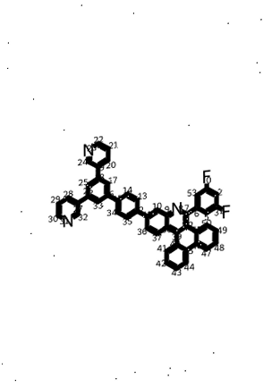 Fc1cc(F)cc(-c2nc3cc(-c4ccc(-c5cc(-c6cccnc6)cc(-c6cccnc6)c5)cc4)ccc3c3c4ccccc4c4ccccc4c23)c1